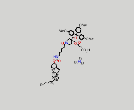 CCN(CC)CC.COc1ccc(C(OCC2(COC(=O)CCC(=O)O)CCN(C(=O)CCCCCNC(=O)OC3CC[C@@]4(C)C(=CC[C@H]5[C@@H]6CC[C@H]([C@H](C)CCCC(C)C)[C@@]6(C)CC[C@@H]54)C3)CC2)(c2ccc(OC)cc2)c2ccc(OC)cc2)cc1